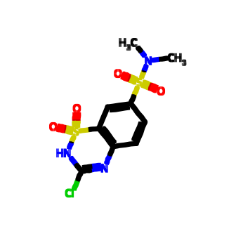 CN(C)S(=O)(=O)c1ccc2c(c1)S(=O)(=O)NC(Cl)=N2